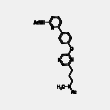 CC(=O)Nc1cccc(-c2ccc(Oc3cncc(CCCN(C)C(C)=O)n3)cc2)n1